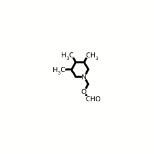 CC1CN(COC=O)CC(C)C1C